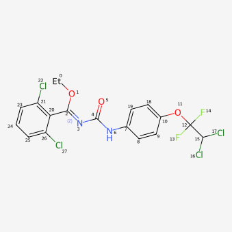 CCO/C(=N\C(=O)Nc1ccc(OC(F)(F)C(Cl)Cl)cc1)c1c(Cl)cccc1Cl